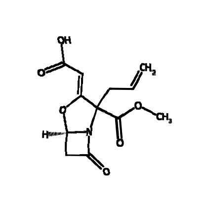 C=CCC1(C(=O)OC)C(=CC(=O)O)O[C@@H]2CC(=O)N21